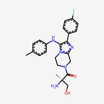 Cc1ccc(Nc2c(-c3ccc(F)cc3)nc3n2CCN(C(=O)[C@](C)(N)CO)C3)cc1